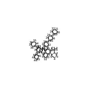 CC1C=CC=CC1c1c(S)c2c3cc(-c4ccc(-c5ccccc5)cc4)ccc3n(-c3nc(-c4ccccc4)cc(-c4ccccc4)n3)c2c2ccccc12